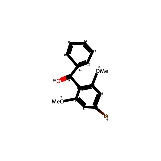 COc1cc(Br)cc(OC)c1C(=O)c1ccccc1